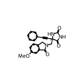 COc1ccc2c(c1)C(=O)N(C[C@@]1(C#Cc3ccccc3)NC(=O)NC1=O)C2